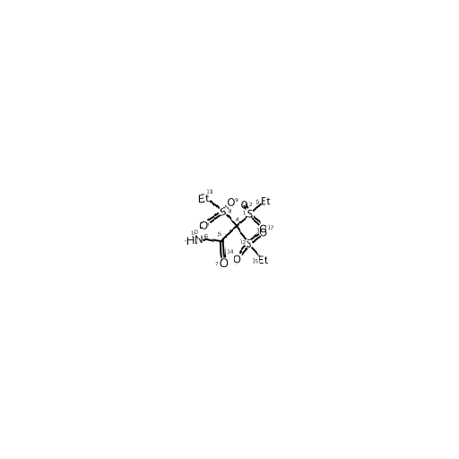 CCS(=O)(=O)C(C([NH])=O)(S(=O)(=O)CC)S(=O)(=O)CC